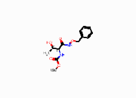 C[C@@H](O)[C@H](NC(=O)OC(C)(C)C)C(=O)NOCc1ccccc1